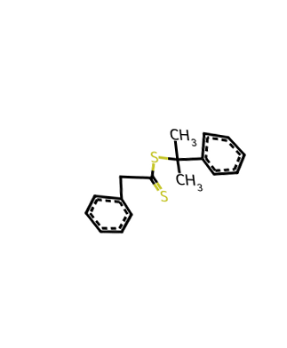 CC(C)(SC(=S)Cc1ccccc1)c1ccccc1